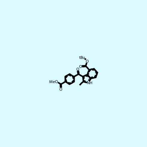 COC(=O)c1ccc(C(=O)c2c(C)[nH]c3cccc(C(=O)OC(C)(C)C)c23)cc1